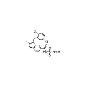 CCCCCS(=O)(=O)NC(=O)c1ccc2sc(C)c(Cc3cc(Cl)ccc3Cl)c2c1